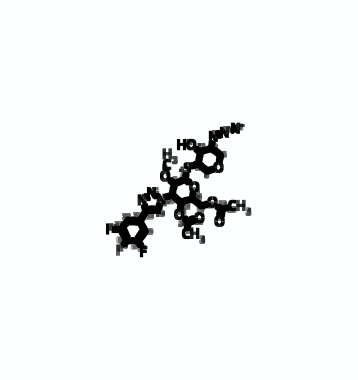 COC1C(SC2COCC(N=[N+]=[N-])C2O)OC(COC(C)=O)C(OC(C)=O)C1n1cc(-c2cc(F)c(F)c(F)c2)nn1